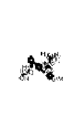 COc1ccc2c(c1)SC[C@@H](NC(=O)CC(C)(C)N)C(=O)N2Cc1ccc(-c2ccccc2CNC(=O)NCCO)cc1